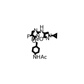 COc1nn(C2CC2)cc1Nc1ncc(F)c(OCC2CCC(NC(C)=O)CC2)n1